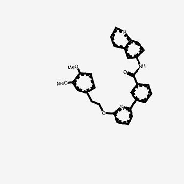 COc1ccc(CCOc2cccc(-c3cccc(C(=O)Nc4ccc5ncccc5c4)c3)n2)cc1OC